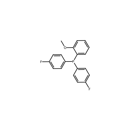 COc1ccccc1P(c1ccc(F)cc1)c1ccc(F)cc1